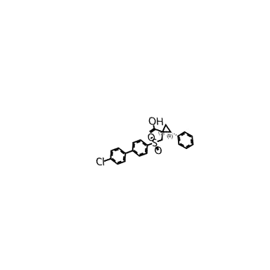 C=C(O)[C@]1(CS(=O)(=O)c2ccc(-c3ccc(Cl)cc3)cc2)C[C@@H]1c1ccccc1